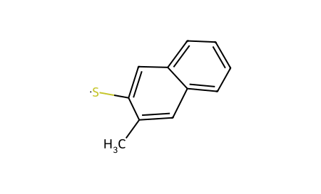 Cc1cc2ccccc2cc1[S]